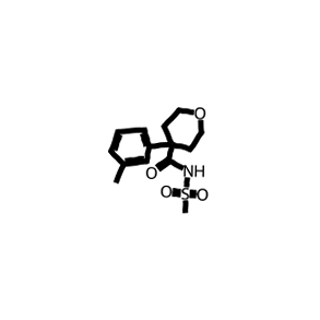 Cc1cccc(C2(C(=O)NS(C)(=O)=O)CCOCC2)c1